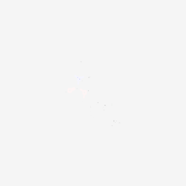 COc1ccc(COC(=O)N2CCCCC2)cc1F